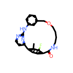 Cc1c2ccc(c1F)C(=O)NCCCCOCc1cccc(c1)Nc1nccc-2n1